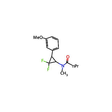 CCCC(=O)N(C)C1C(c2cccc(OC)c2)C1(F)F